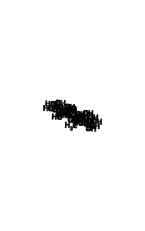 CC(=O)N[C@H]1[C@H](O[C@H]2[C@@H](O)[C@@H](CO)O[C@H](O[C@@H]3[C@H](O)[C@@H](O)[C@H](O[C@H]4[C@H](O)[C@@H](O)[C@H](O)O[C@@H]4CO)O[C@@H]3CO)[C@@H]2O)O[C@H](CO)[C@H](O[C@H]2O[C@H](CO)[C@H](O)[C@H](O)[C@H]2O)[C@@H]1O